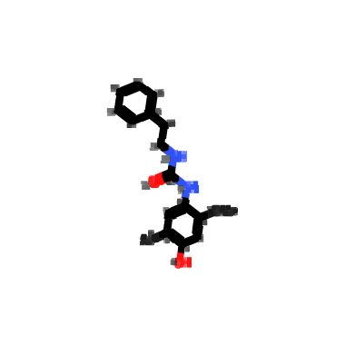 COc1cc(O)c(C(C)=O)cc1NC(=O)NCCc1ccccc1